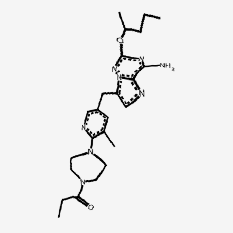 CCCC(C)Oc1nc(N)c2ncc(Cc3cnc(N4CCN(C(=O)CC)CC4)c(C)c3)n2n1